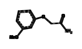 COc1cccc(OCC(N)=O)c1